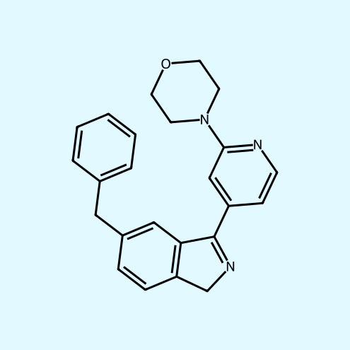 c1ccc(Cc2ccc3c(c2)C(c2ccnc(N4CCOCC4)c2)=NC3)cc1